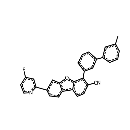 Cc1cccc(-c2cccc(-c3c(C#N)ccc4c3oc3cc(-c5cc(F)ccn5)ccc34)c2)c1